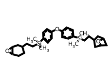 C[Si](C)(CCC1CC2CC(C1)O2)c1ccc(Oc2ccc([Si](C)(C)CCC3CCC4OC4C3)cc2)cc1